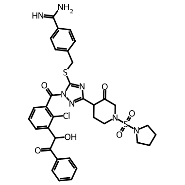 N=C(N)c1ccc(CSc2nc(C3CCN(S(=O)(=O)N4CCCC4)CC3=O)nn2C(=O)c2cccc(C(O)C(=O)c3ccccc3)c2Cl)cc1